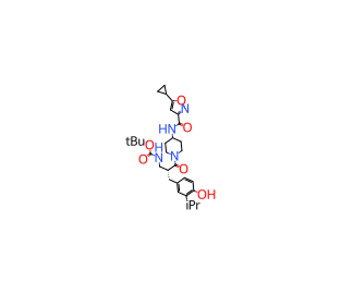 CC(C)c1cc(C[C@H](CNC(=O)OC(C)(C)C)C(=O)N2CCC(NC(=O)c3cc(C4CC4)on3)CC2)ccc1O